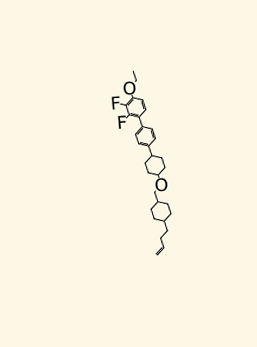 C=CCCC1CCC(COC2CCC(c3ccc(-c4ccc(OCC)c(F)c4F)cc3)CC2)CC1